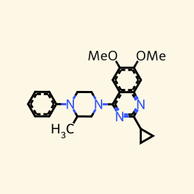 COc1cc2nc(C3CC3)nc(N3CCN(c4ccccc4)C(C)C3)c2cc1OC